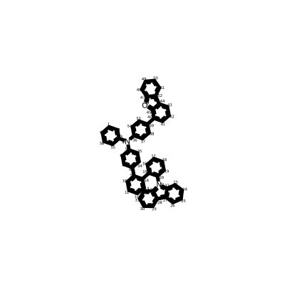 c1ccc(N(c2ccc(-c3ccccc3-c3ccccc3-n3c4ccccc4c4ccccc43)cc2)c2ccc(-c3cccc4c3oc3ccccc34)cc2)cc1